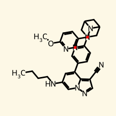 CCCCNc1cc(-c2ccc(N3CC4CC(C3)N4Cc3ccc(OC)nc3)nc2)c2c(C#N)cnn2c1